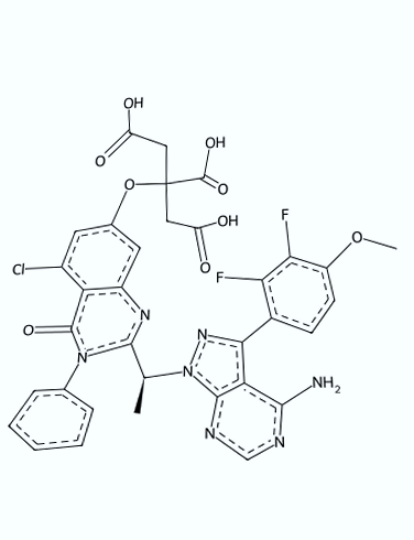 COc1ccc(-c2nn([C@@H](C)c3nc4cc(OC(CC(=O)O)(CC(=O)O)C(=O)O)cc(Cl)c4c(=O)n3-c3ccccc3)c3ncnc(N)c23)c(F)c1F